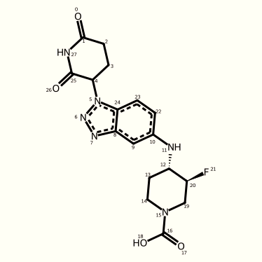 O=C1CCC(n2nnc3cc(N[C@H]4CCN(C(=O)O)C[C@@H]4F)ccc32)C(=O)N1